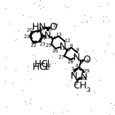 Cc1ncc(C(=O)N2CCC(N3CCC(n4c(=O)[nH]c5ccccc54)CC3)CC2)cn1.Cl.Cl